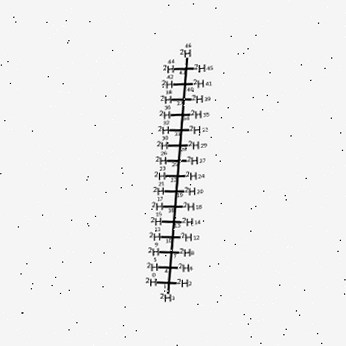 [2H]C([2H])([2H])C([2H])([2H])C([2H])([2H])C([2H])([2H])C([2H])([2H])C([2H])([2H])C([2H])([2H])C([2H])([2H])C([2H])([2H])C([2H])([2H])C([2H])([2H])C([2H])([2H])C([2H])([2H])C([2H])([2H])C([2H])([2H])[2H]